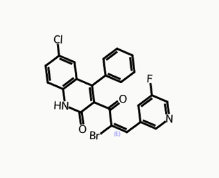 O=C(/C(Br)=C\c1cncc(F)c1)c1c(-c2ccccc2)c2cc(Cl)ccc2[nH]c1=O